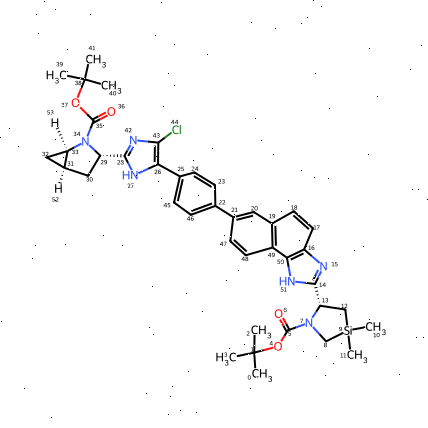 CC(C)(C)OC(=O)N1C[Si](C)(C)C[C@H]1c1nc2ccc3cc(-c4ccc(-c5[nH]c([C@@H]6C[C@H]7C[C@H]7N6C(=O)OC(C)(C)C)nc5Cl)cc4)ccc3c2[nH]1